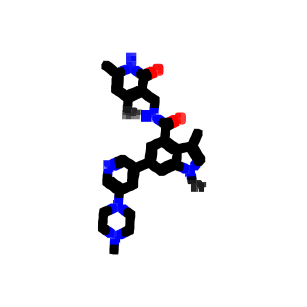 CCCc1cc(C)[nH]c(=O)c1CNC(=O)c1cc(-c2cncc(N3CCN(C)CC3)c2)cc2c1c(C)cn2C(C)C